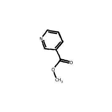 COC(=O)c1[c]nccc1